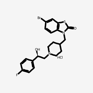 Cl.O=c1sc2cc(Br)ccc2n1CC1CCN(C[C@H](O)c2ccc(F)cc2)CC1